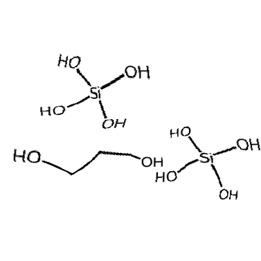 OCCO.O[Si](O)(O)O.O[Si](O)(O)O